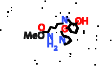 COC(=O)C(N)CCCC/N=C\c1c(O)cccc1OCc1ccccn1